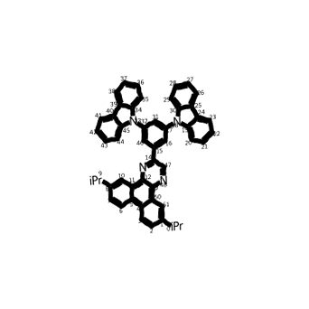 CC(C)c1ccc2c3ccc(C(C)C)cc3c3nc(-c4cc(-n5c6ccccc6c6ccccc65)cc(-n5c6ccccc6c6ccccc65)c4)cnc3c2c1